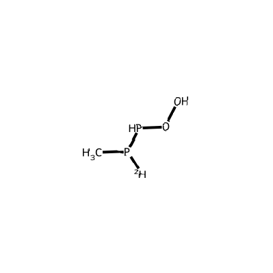 [2H]P(C)POO